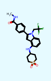 CNC(=O)c1ccc(-c2cc3c(NC4CCS(=O)(=O)CC4)cccc3n2CC(F)(F)F)cc1